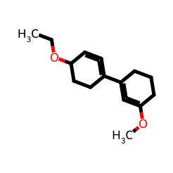 CCOC1C=C=C(C2=C=C(OC)CCC2)CC1